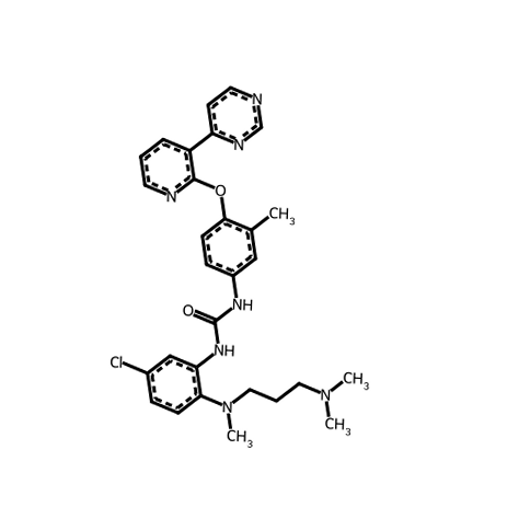 Cc1cc(NC(=O)Nc2cc(Cl)ccc2N(C)CCCN(C)C)ccc1Oc1ncccc1-c1ccncn1